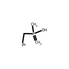 C=P(C)(O)CC(C)C